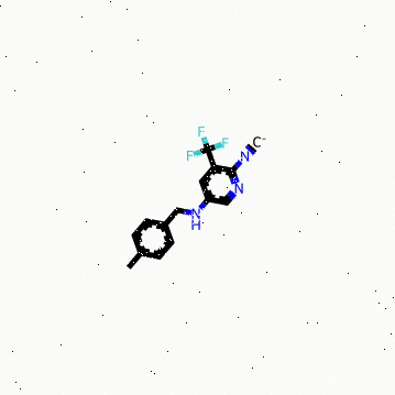 [C-]#[N+]c1ncc(NCc2ccc(C)cc2)cc1C(F)(F)F